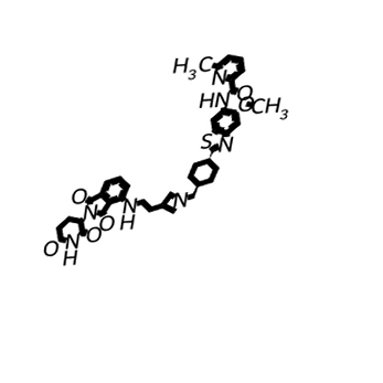 COc1cc2nc([C@H]3CC[C@H](CN4CC(CCNc5cccc6c5C(=O)N(C5CCC(=O)NC5=O)C6=O)C4)CC3)sc2cc1NC(=O)c1cccc(C)n1